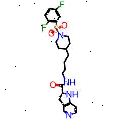 O=C(NCCCCC1CCN(S(=O)(=O)c2cc(F)ccc2F)CC1)C1Cc2cnccc2N1